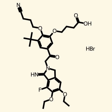 Br.CCOc1cc2c(c(F)c1OCC)C(=N)N(CC(=O)c1cc(OCCCC(=O)O)c(OCCCC#N)c(C(C)(C)C)c1)C2